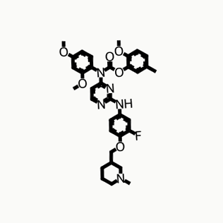 COc1ccc(N(C(=O)Oc2cc(C)ccc2OC)c2ccnc(Nc3ccc(OCC4CCCN(C)C4)c(F)c3)n2)c(OC)c1